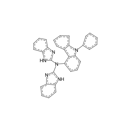 c1ccc(-n2c3ccccc3c3c(N(c4nc5ccccc5[nH]4)c4nc5ccccc5[nH]4)cccc32)cc1